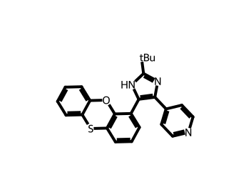 CC(C)(C)c1nc(-c2ccncc2)c(-c2cccc3c2Oc2ccccc2S3)[nH]1